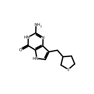 Nc1nc2c(CC3CCSC3)c[nH]c2c(=O)[nH]1